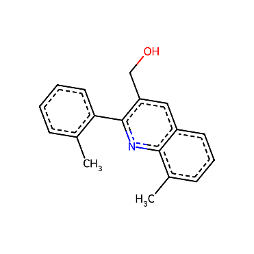 Cc1ccccc1-c1nc2c(C)cccc2cc1CO